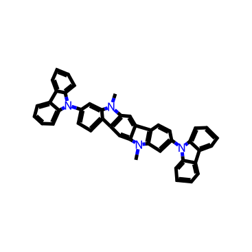 Cn1c2cc(-n3c4ccccc4c4ccccc43)ccc2c2cc3c(cc21)c1ccc(-n2c4ccccc4c4ccccc42)cc1n3C